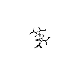 CC(C)[Si](C)(O[Si](C)(C(C)C)C(C)C)C(C)C